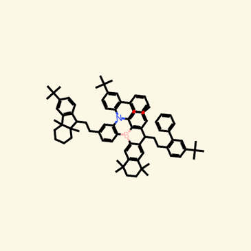 Cc1cc2c3c(c1)N(c1ccc(C(C)(C)C)cc1-c1ccccc1)c1cc(CCC4c5ccc(C(C)(C)C)cc5C5(C)CCCCC45C)ccc1B3c1cc3c(cc1C2CCc1ccc(C(C)(C)C)cc1-c1ccccc1)C(C)(C)CCC3(C)C